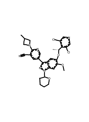 COc1cc2c(cc1O[C@H](C)c1c(Cl)cncc1Cl)c(-c1cnc(N3CC(C)C3)c(C#N)c1)nn2C1CCCCO1